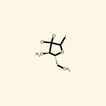 CC[C@H]1OC(I)C(Cl)(Cl)[C@@H]1C